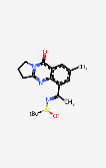 CC(=N[S+]([O-])C(C)(C)C)c1cc(C)cc2c(=O)n3c(nc12)CCC3